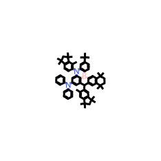 Cc1cc2c(cc1C1c3cc4c(cc3B3c5ccc(C(C)(C)C)cc5N(c5ccc6c(c5C)C(C)(C)CC6(C)C)c5cc(N(c6ccccc6)c6ccccc6)cc1c53)C(C)(C)CCC4(C)C)C(C)(C)CC2(C)C